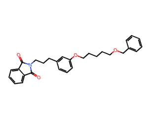 O=C1c2ccccc2C(=O)N1CCCc1cccc(OCCCCCOCc2ccccc2)c1